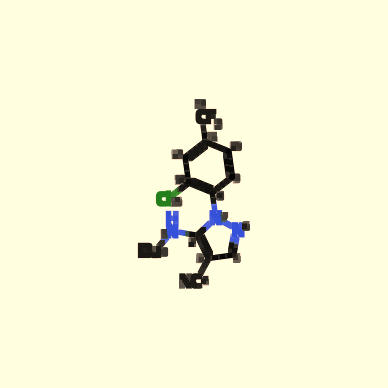 CCC(C)Nc1c(C#N)cnn1-c1ccc(C(F)(F)F)cc1Cl